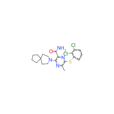 Cc1nc(N2CCC3(CCCC3)CC2)c(C(N)=O)nc1Sc1cccc(Cl)c1Cl